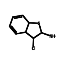 [NH]C1SC2C=CC=CC2C1Cl